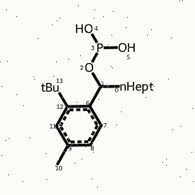 CCCCCCCC(OP(O)O)c1ccc(C)cc1C(C)(C)C